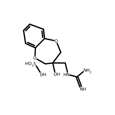 N=C(N)NCC1(O)COc2ccccc2OC1.O=S(=O)(O)O